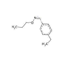 CCCO/N=[C]\c1ccc(CC)cc1